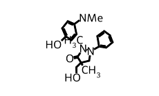 CN1C(=O)C(C)(CO)CN1c1ccccc1.CNc1ccc(O)cc1